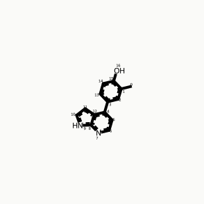 Cc1cc(-c2ccnc3[nH]ccc23)ccc1O